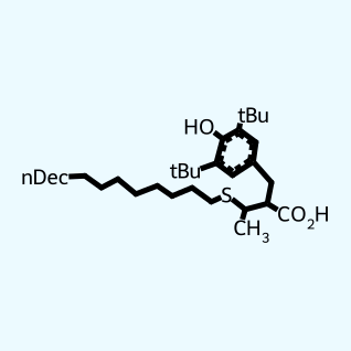 CCCCCCCCCCCCCCCCCCSC(C)C(Cc1cc(C(C)(C)C)c(O)c(C(C)(C)C)c1)C(=O)O